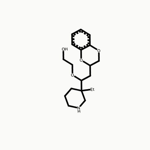 CCC1(C(CC2COc3ccccc3O2)OCCO)CCCNC1